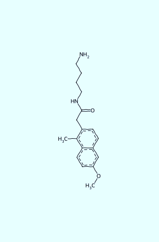 COc1ccc2c(C)c(CC(=O)NCCCCN)ccc2c1